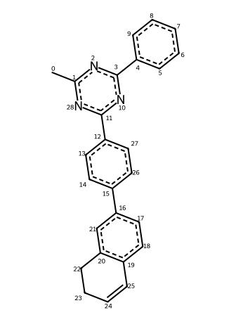 Cc1nc(-c2ccccc2)nc(-c2ccc(-c3ccc4c(c3)CCC=C4)cc2)n1